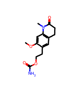 COc1cc2c(cc1CCOC(N)=O)CCC(=O)N2C